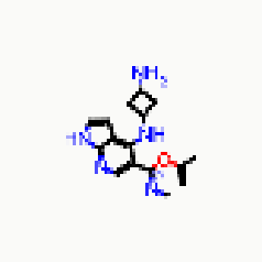 C=C(C)O/C(=N\C)c1cnc2[nH]ccc2c1N[C@H]1C[C@@H](N)C1